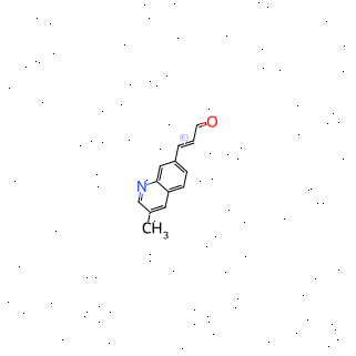 Cc1cnc2cc(/C=C/C=O)ccc2c1